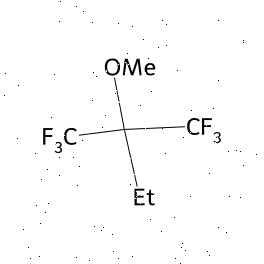 CCC(OC)(C(F)(F)F)C(F)(F)F